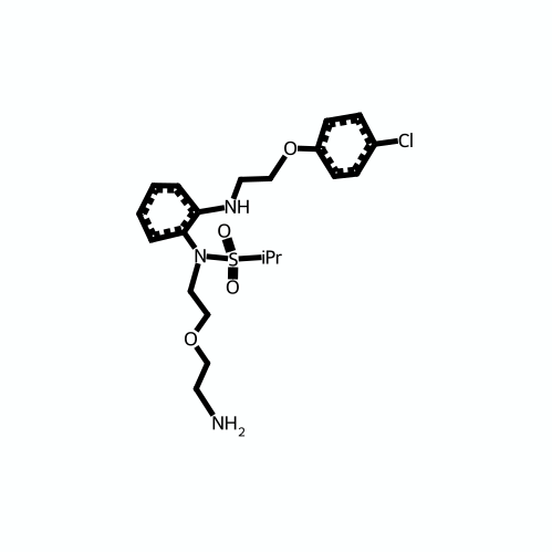 CC(C)S(=O)(=O)N(CCOCCN)c1ccccc1NCCOc1ccc(Cl)cc1